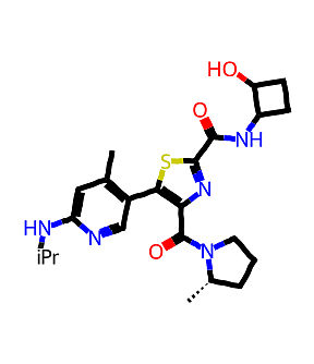 Cc1cc(NC(C)C)ncc1-c1sc(C(=O)NC2CCC2O)nc1C(=O)N1CCC[C@@H]1C